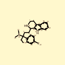 CCC(CCC1NCCc2c1[nH]c1ccccc21)(c1ccc(F)cc1)N(C)C